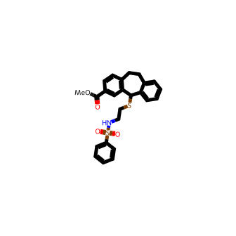 COC(=O)c1ccc2c(c1)C(SCCNS(=O)(=O)c1ccccc1)c1ccccc1CC2